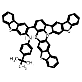 CC(C)(C)c1ccc(Nc2cc3sc4ccccc4c3cc2-c2ccc3c4cc5c(cc4n4c3c2Bc2cc3sc6ccccc6c3cc2-4)sc2ccccc25)cc1